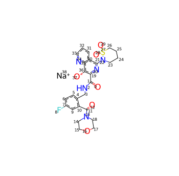 O=C(NCc1ccc(F)cc1C(=O)N1CCOCC1)c1nc(N2CCCCS2(=O)=O)c2cccnc2c1[O-].[Na+]